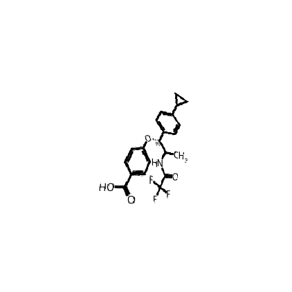 CC(NC(=O)C(F)(F)F)[C@H](Oc1ccc(C(=O)O)cc1)c1ccc(C2CC2)cc1